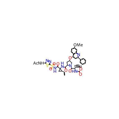 C=CC1CC1(NC(=O)C1CC(Oc2cc(-c3ccccc3)nc3cc(OC)ccc23)CN1C(=O)C(NC(=O)OC(C)(C)C)C(C)(C)C)C(=O)NS(=O)(=O)c1nnc(NC(C)=O)s1